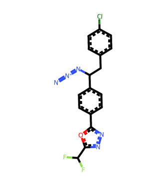 [N-]=[N+]=NC(Cc1ccc(Cl)cc1)c1ccc(-c2nnc(C(F)F)o2)cc1